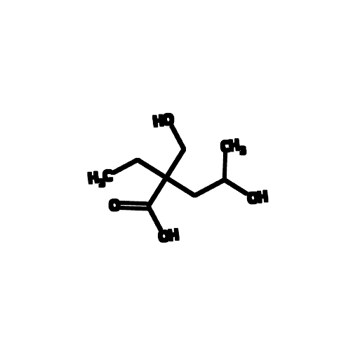 CCC(CO)(CC(C)O)C(=O)O